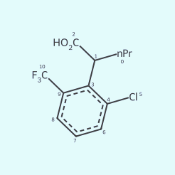 CCCC(C(=O)O)c1c(Cl)cccc1C(F)(F)F